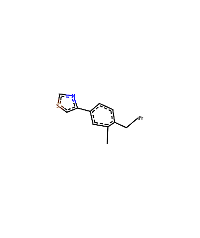 Cc1cc(-c2cs[c]n2)ccc1CC(C)C